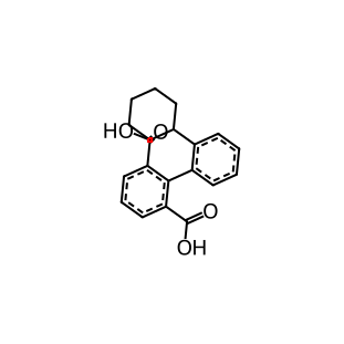 O=C(O)c1cccc(C(=O)O)c1-c1ccccc1C1CCCCC1